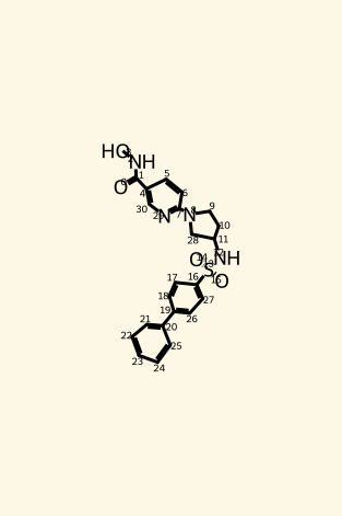 O=C(NO)c1ccc(N2CCC(NS(=O)(=O)c3ccc(-c4ccccc4)cc3)C2)nc1